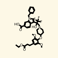 CCOC(=O)CCc1cc(OC)c(OC2CCN(CC(O)(c3cn(Cc4ccccc4)c4cc(C(=O)O)ccc34)C(F)(F)F)CC2)c(OC)c1